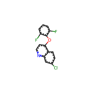 Fc1cccc(F)c1Oc1ccnc2cc(Cl)ccc12